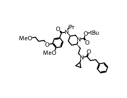 COCCCOc1cc(C(=O)N(C(C)C)[C@@H]2CC[C@H](CCN(C(=O)CCc3ccccc3)C3CC3)N(C(=O)OC(C)(C)C)C2)ccc1OC